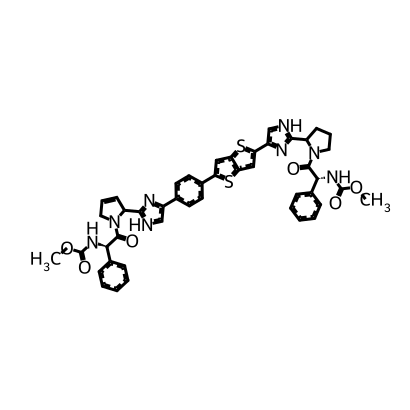 COC(=O)N[C@@H](C(=O)N1CC=CC1c1nc(-c2ccc(-c3cc4sc(-c5c[nH]c(C6CCCN6C(=O)[C@H](NC(=O)OC)c6ccccc6)n5)cc4s3)cc2)c[nH]1)c1ccccc1